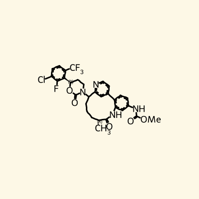 COC(=O)Nc1ccc2c(c1)NC(=O)[C@H](C)CCCC(N1CC[C@H](c3c(C(F)(F)F)ccc(Cl)c3F)OC1=O)c1cc-2ccn1